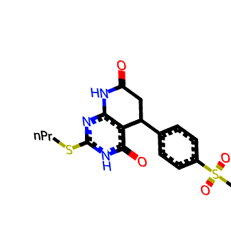 CCCSc1nc2c(c(=O)[nH]1)C(c1ccc(S(C)(=O)=O)cc1)CC(=O)N2